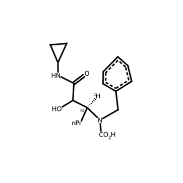 [2H][C@](CCC)(C(O)C(=O)NC1CC1)N(Cc1ccccc1)C(=O)O